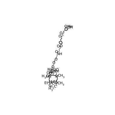 C=Cc1c(C)c2cc3nc(c(CC(=O)OC)c4[nH]c(cc5nc(cc1[nH]2)C(C)=C5CC)c(C)c4C(=O)NCCCOCCOCCOCCCNC(=O)CCCC(=O)Oc1ccc(/C=C/C(=O)CC(=O)/C=C/c2ccc(O)c(OC)c2)cc1)C(CCC(=O)OC)C3C